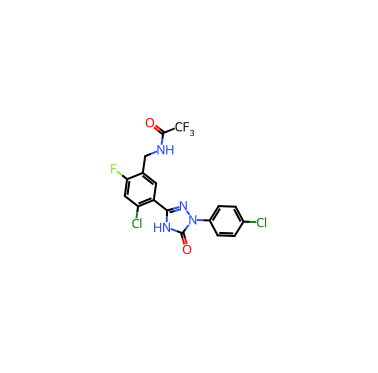 O=C(NCc1cc(-c2nn(-c3ccc(Cl)cc3)c(=O)[nH]2)c(Cl)cc1F)C(F)(F)F